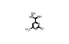 Cc1cc(C(=N)NO)nc(Cl)n1